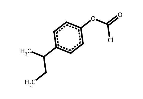 CCC(C)c1ccc(OC(=O)Cl)cc1